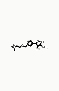 C[SiH](C)CCOCn1cc(-c2n[nH]c(N)c2C#N)cn1